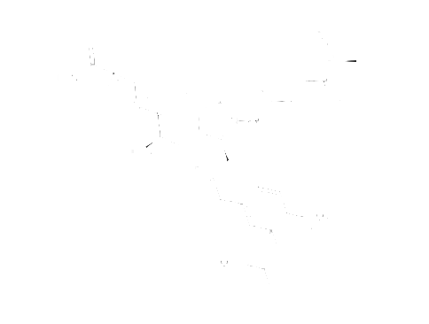 CCC(OC)Oc1cc(C[C@@H](C[C@H]2[C@H](C[C@H](C(=O)NCC(C)(C)C(N)=O)C(C)C)OCN2C(=O)OCOC(=O)[C@@H](N)C(C)C)C(C)C)ccc1OC